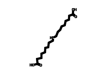 O=C(O)CCCCCCCCPCCCCCCCCC(=O)O